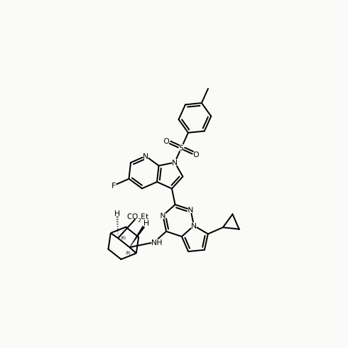 CCOC(=O)[C@@H]1C2CCC(CC2)[C@H]1Nc1nc(-c2cn(S(=O)(=O)c3ccc(C)cc3)c3ncc(F)cc23)nn2c(C3CC3)ccc12